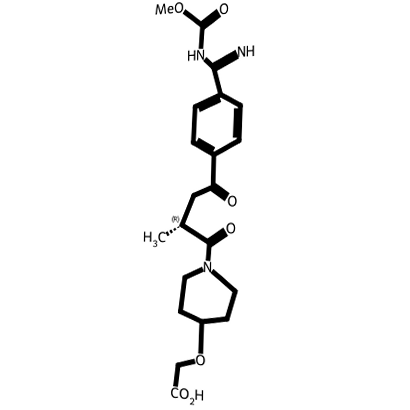 COC(=O)NC(=N)c1ccc(C(=O)C[C@@H](C)C(=O)N2CCC(OCC(=O)O)CC2)cc1